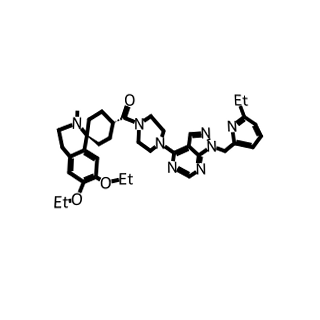 CCOc1cc2c(cc1OCC)[C@]1(CC[C@@H](C(=O)N3CCN(c4ncnc5c4cnn5Cc4cccc(CC)n4)CC3)CC1)N(C)CC2